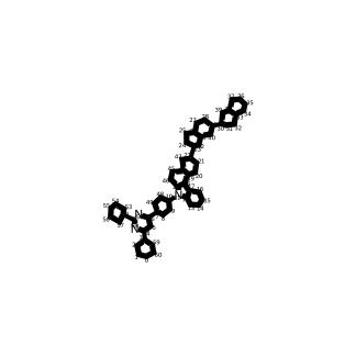 c1ccc(-c2cc(-c3ccc(-n4c5ccccc5c5c6ccc(-c7ccc8ccc(-c9ccc%10ccccc%10c9)cc8c7)cc6ccc54)cc3)nc(-c3ccccc3)n2)cc1